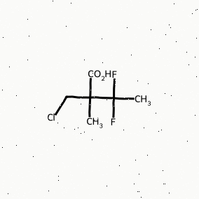 CC(F)(F)C(C)(CCl)C(=O)O